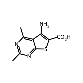 Cc1nc(C)c2c(N)c(C(=O)O)sc2n1